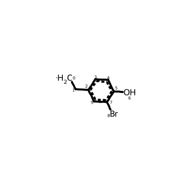 [CH2]Cc1ccc(O)c(Br)c1